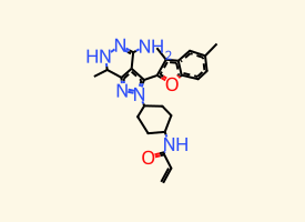 C=CC(=O)NC1CCC(n2nc3c(c2-c2oc4ccc(C)cc4c2C)C(N)=NNC3C)CC1